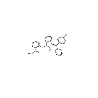 COC(=O)c1ccccc1CN1C(=O)/C(=C(\c2ccccc2)c2ccc(Cl)cc2)c2ccccc21